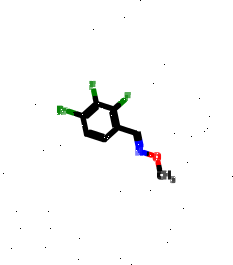 CON=Cc1ccc(Br)c(F)c1F